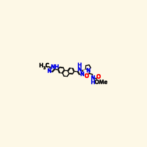 COC(=O)NCC(=O)N1CCC[C@H]1c1ncc(-c2ccc3c(c2)CCc2cc(-c4cnc(C)[nH]4)ccc2-3)[nH]1